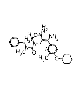 Cc1nc(/C(N)=C(\CN(C)C(=O)N(C)Cc2ccccc2)N(C)N)ccc1OC1CCCCC1